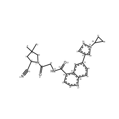 CC1(C)CC(C#N)N(C(=O)CNC(=O)c2ccnc3ccc(-c4cnn(C5CC5)c4)cc23)C1